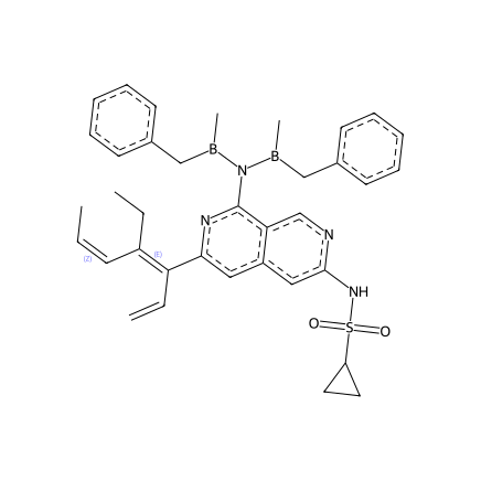 C=C/C(=C(\C=C/C)CC)c1cc2cc(NS(=O)(=O)C3CC3)ncc2c(N(B(C)Cc2ccccc2)B(C)Cc2ccccc2)n1